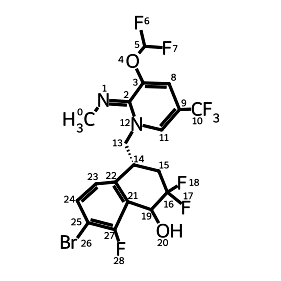 C/N=c1/c(OC(F)F)cc(C(F)(F)F)cn1C[C@@H]1CC(F)(F)C(O)c2c1ccc(Br)c2F